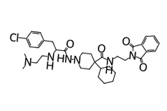 CN(C)CCNC(Cc1ccc(Cl)cc1)C(=O)NN1CCC(C(=O)NCCN2C(=O)c3ccccc3C2=O)(C2CCCCC2)CC1